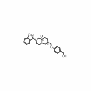 OCc1ccc(OC[C@@H]2CC[C@@H]3CN(c4noc5ccccc45)CCN3C2)cc1